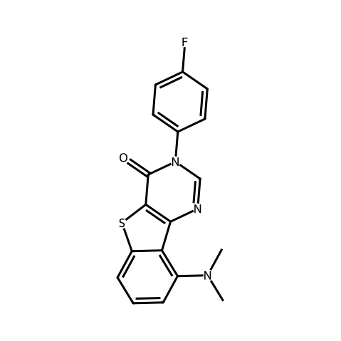 CN(C)c1cccc2sc3c(=O)n(-c4ccc(F)cc4)cnc3c12